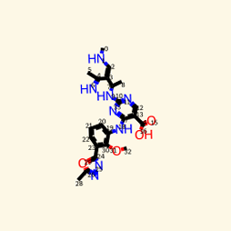 CN/C=C(\C(C)=N)C(C)Nc1ncc(C(=O)O)c(Nc2cccc(-c3nnc(C)o3)c2OC)n1